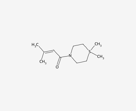 CC(C)=CC(=O)N1CCS(C)(C)CC1